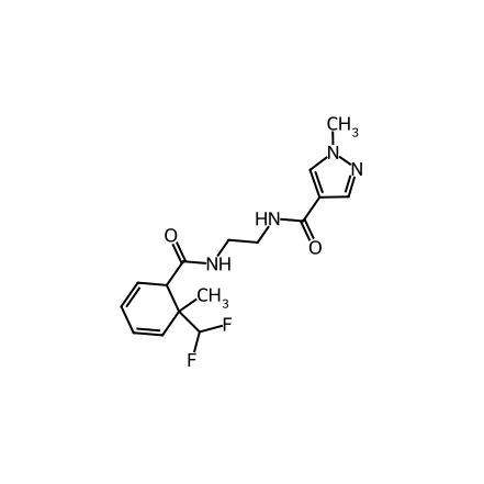 Cn1cc(C(=O)NCCNC(=O)C2C=CC=CC2(C)C(F)F)cn1